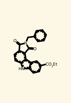 CCOC(=O)c1ccc2[nH]c3ccc4c(c3c2c1)C(=O)N(Cc1ccccc1)C4=O